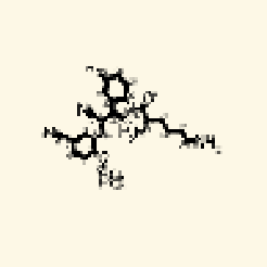 COc1ccc(C#N)cc1/C=C(\C#N)c1cn(C(=O)C(N)CCCCN)c2ccc(Br)cc12.Cl.Cl